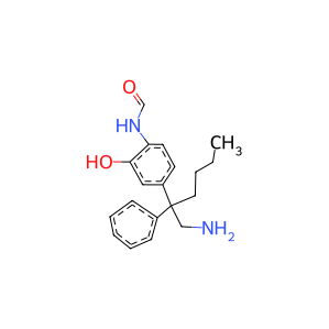 CCCCC(CN)(c1ccccc1)c1ccc(NC=O)c(O)c1